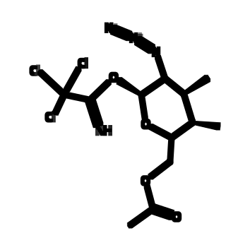 CC(=O)OCC1O[C@@H](OC(=N)C(Cl)(Cl)Cl)C(N=[N+]=[N-])[C@@H](C)[C@H]1C